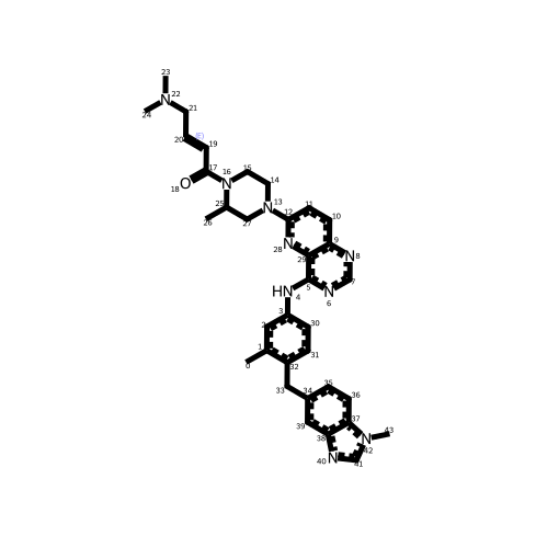 Cc1cc(Nc2ncnc3ccc(N4CCN(C(=O)/C=C/CN(C)C)C(C)C4)nc23)ccc1Cc1ccc2c(c1)ncn2C